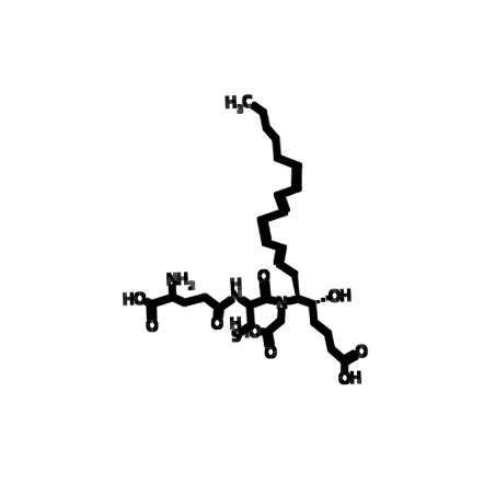 CCCCC\C=C/C=C/C=C\C=CC[C@@H]([C@H](O)CCCC(=O)O)N(CC(=O)O)C(=O)C(CS)NC(=O)CCC(N)C(=O)O